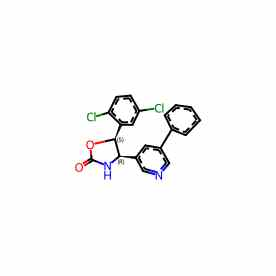 O=C1N[C@H](c2cncc(-c3ccccc3)c2)[C@H](c2cc(Cl)ccc2Cl)O1